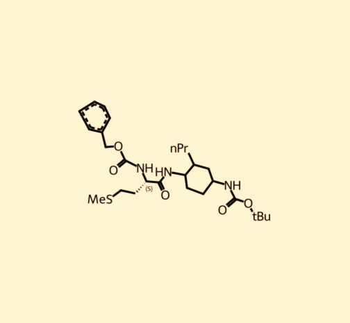 CCCC1CC(NC(=O)OC(C)(C)C)CCC1NC(=O)[C@H](CCSC)NC(=O)OCc1ccccc1